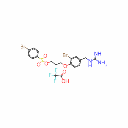 N=C(N)NCc1ccc(OCCCOS(=O)(=O)c2ccc(Br)cc2)c(Br)c1.O=C(O)C(F)(F)F